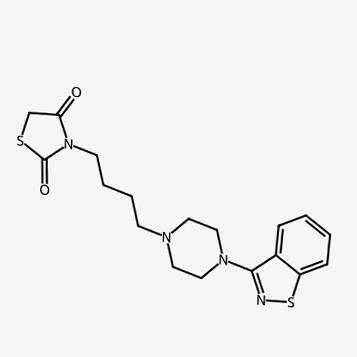 O=C1CSC(=O)N1CCCCN1CCN(c2nsc3ccccc23)CC1